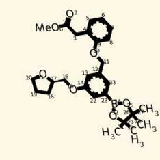 COC(=O)Cc1ccccc1OCc1cc(OC[C@H]2CCCO2)cc(B2OC(C)(C)C(C)(C)O2)c1